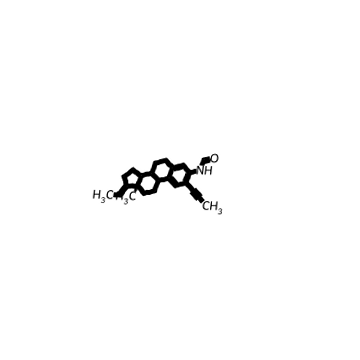 CC#Cc1cc2c(cc1NC=O)CCC1C2CC[C@]2(C)C(=CC)CCC12